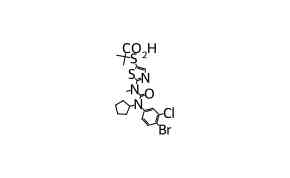 CN(C(=O)N(c1ccc(Br)c(Cl)c1)C1CCCC1)c1ncc(SC(C)(C)C(=O)O)s1